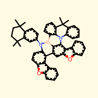 CC1(C)CCC(C)(C)c2cc(N3B4c5cccc6c5N(c5ccccc5C6(C)C)c5c4c(cc4oc6ccccc6c54)-c4c3ccc3oc5ccccc5c43)ccc21